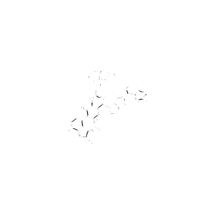 CC1C2C(CCN2c2nc(OC[C@@]34CCCN3C[C@H](F)C4)nc3c(F)c(-c4ccc(F)c5sc(N)c(C#N)c45)c(Cl)cc23)CN1C(=O)n1cncn1